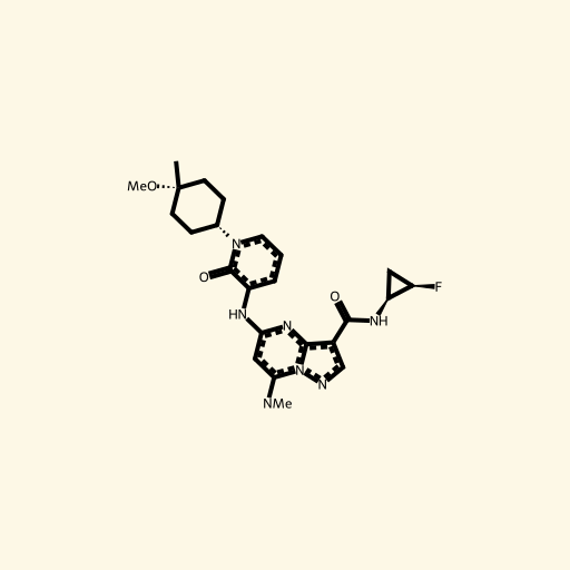 CNc1cc(Nc2cccn([C@H]3CC[C@@](C)(OC)CC3)c2=O)nc2c(C(=O)N[C@H]3C[C@H]3F)cnn12